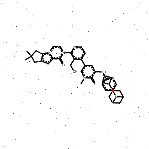 Cn1cc(-c2ccnc(-n3ccn4c5c(cc4c3=O)CC(C)(C)C5)c2CO)cc(Nc2ccc(N3C4CC3CN(C3COC3)C4)cn2)c1=O